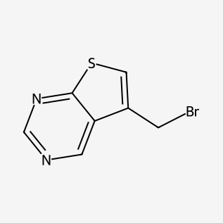 BrCc1csc2ncncc12